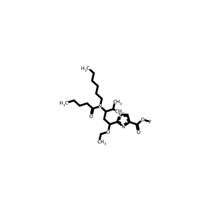 CCCCCCN(C(=O)CCCC)C(CC(OCC)c1nc(C(=O)OF)cs1)C(C)C